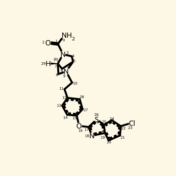 NC(=O)N1CC2C[C@@H]1CN2CCc1ccc(Oc2nc3ccc(Cl)cc3s2)cc1